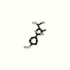 COc1ccc(-c2nc(C(O)C(C)C)c(C)[nH]2)cc1